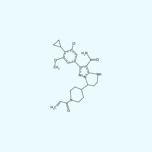 C=CC(=O)N1CCC(C2CCNc3c(C(N)=O)c(-c4cc(Cl)c(C5CC5)c(OC)c4)nn32)CC1